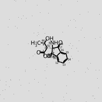 COC(=O)[C@H]([C@@H](C)O)C1(N)C(=O)c2ccccc2C1=O